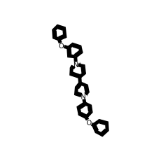 c1ccc(Oc2ccc(-[n+]3ccc(-c4cc[n+](-c5cccc(Oc6ccccc6)c5)cc4)cc3)cc2)cc1